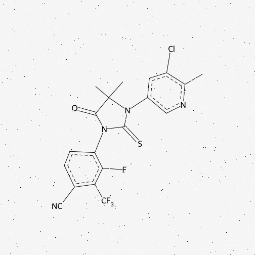 Cc1ncc(N2C(=S)N(c3ccc(C#N)c(C(F)(F)F)c3F)C(=O)C2(C)C)cc1Cl